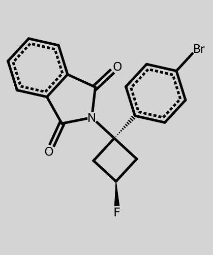 O=C1c2ccccc2C(=O)N1[C@]1(c2ccc(Br)cc2)C[C@H](F)C1